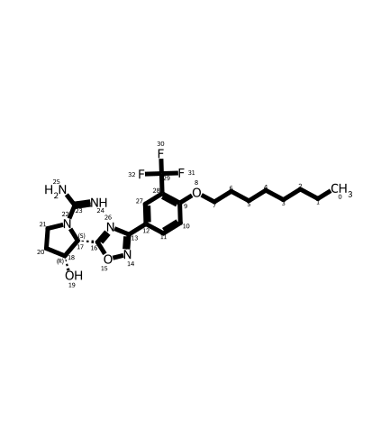 CCCCCCCCOc1ccc(-c2noc([C@@H]3[C@H](O)CCN3C(=N)N)n2)cc1C(F)(F)F